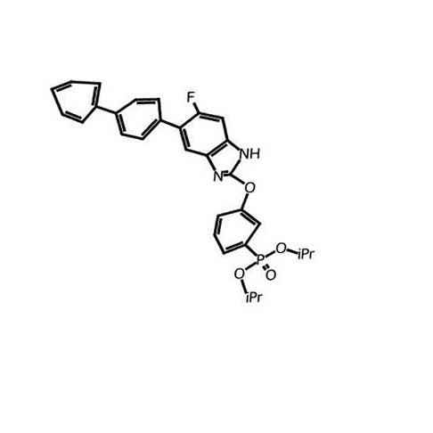 CC(C)OP(=O)(OC(C)C)c1cccc(Oc2nc3cc(-c4ccc(-c5ccccc5)cc4)c(F)cc3[nH]2)c1